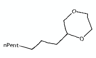 CCCCCCCCC1COCCO1